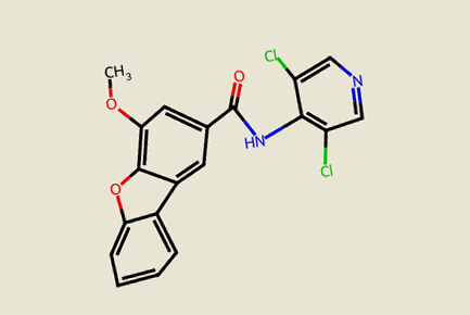 COc1cc(C(=O)Nc2c(Cl)cncc2Cl)cc2c1oc1ccccc12